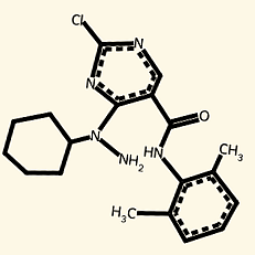 Cc1cccc(C)c1NC(=O)c1cnc(Cl)nc1N(N)C1CCCCC1